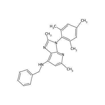 Cc1cc(C)c(-n2c(C)nc3c(NCc4ccccc4)cc(C)nc32)c(C)c1